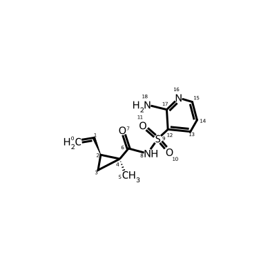 C=C[C@@H]1C[C@]1(C)C(=O)NS(=O)(=O)c1cccnc1N